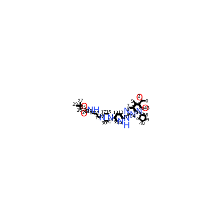 CC(=O)c1c(C)c2cnc(Nc3ccc(N4CCN(CCCNC(=O)OC(C)(C)C)CC4)cn3)nc2n(C2CCCC2)c1=O